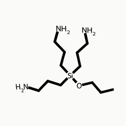 CCCO[Si](CCCN)(CCCN)CCCN